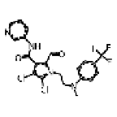 CN(CCn1c(Cl)c(Cl)c(C(=O)Nc2cccnc2)c1C=O)c1ccc(C(F)(F)F)cc1